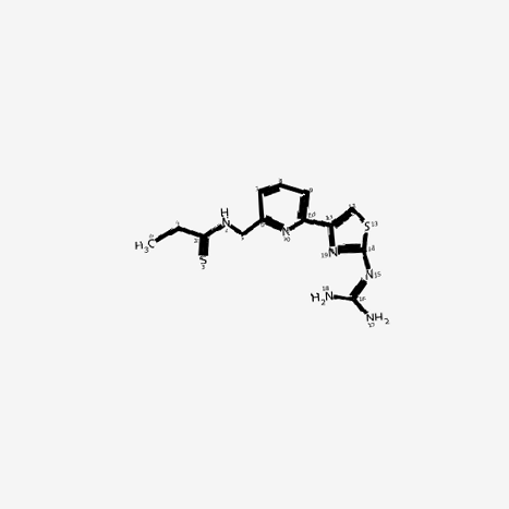 CCC(=S)NCc1cccc(-c2csc(N=C(N)N)n2)n1